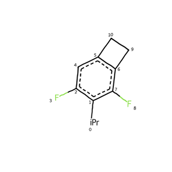 CC(C)c1c(F)cc2c(c1F)CC2